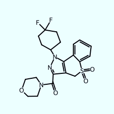 O=C(c1nn(C2CCC(F)(F)CC2)c2c1CS(=O)(=O)c1ccccc1-2)N1CCOCC1